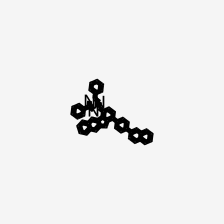 C1=CC(c2nc(-c3ccccc3)nc(-c3ccc(-c4ccc(-c5ccc6ccccc6c5)cc4)c4c3-c3cc5ccccc5cc3C4)n2)=CCC1